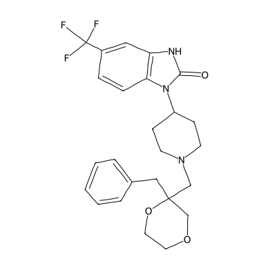 O=c1[nH]c2cc(C(F)(F)F)ccc2n1C1CCN(CC2(Cc3ccccc3)COCCO2)CC1